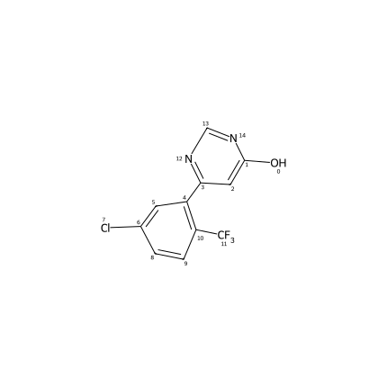 Oc1cc(-c2cc(Cl)ccc2C(F)(F)F)ncn1